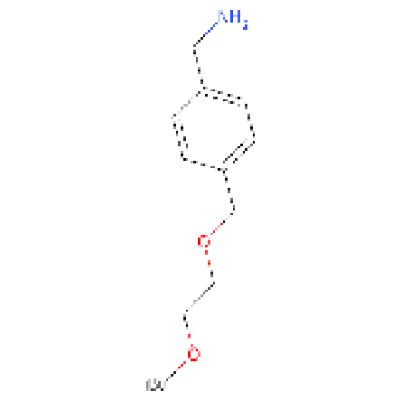 CCC(C)OCCOCc1ccc(CN)cc1